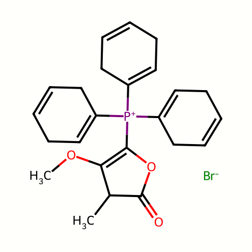 COC1=C([P+](C2=CCC=CC2)(C2=CCC=CC2)C2=CCC=CC2)OC(=O)C1C.[Br-]